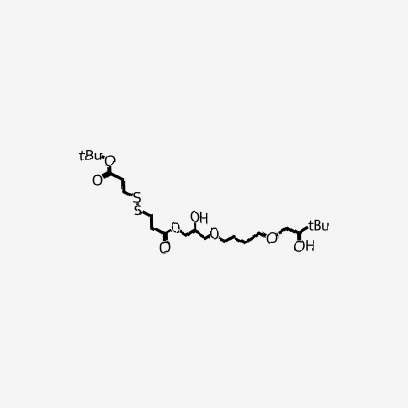 CC(C)(C)OC(=O)CCSSCCC(=O)OCC(O)COCCCCOCC(O)C(C)(C)C